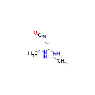 CCNC(CCN=C=O)NCC